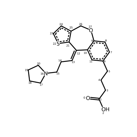 O=C(O)CCCc1ccc2c(c1)C(=CCCN1CCCC1)c1sccc1CO2